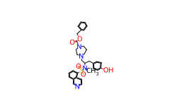 CN(C(Cc1ccc(O)cc1)CN1CCCN(C(=O)OCc2ccccc2)CC1)S(=O)(=O)c1cccc2cnccc12